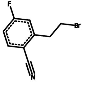 N#Cc1ccc(F)cc1CCBr